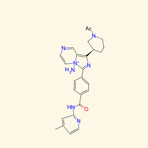 CC(=O)N1CCC[C@@H](C2=C3C=NC=C[N+]3(N)C(c3ccc(C(=O)Nc4cc(C)ccn4)cc3)=N2)C1